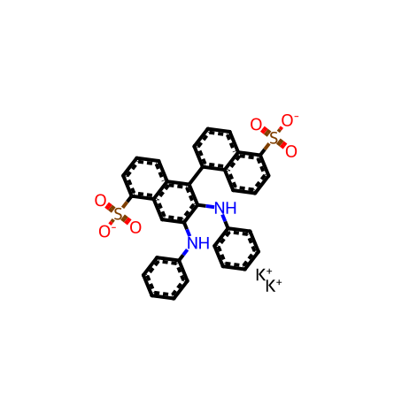 O=S(=O)([O-])c1cccc2c(-c3c(Nc4ccccc4)c(Nc4ccccc4)cc4c(S(=O)(=O)[O-])cccc34)cccc12.[K+].[K+]